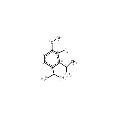 CC(C)c1ccc(OO)c(Cl)c1C(C)C